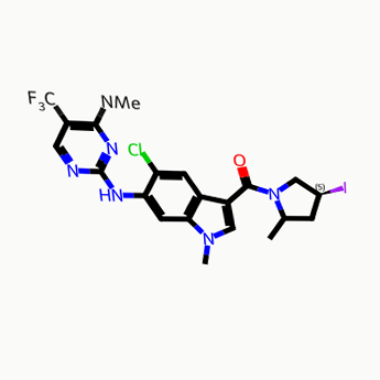 CNc1nc(Nc2cc3c(cc2Cl)c(C(=O)N2C[C@@H](I)CC2C)cn3C)ncc1C(F)(F)F